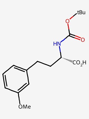 COc1cccc(CC[C@H](NC(=O)OC(C)(C)C)C(=O)O)c1